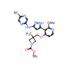 COc1nccc(OCC2(C)CN(C(=O)OC(C)(C)C)C2)c1-c1cc(Nc2cnc(C#N)cn2)n[nH]1